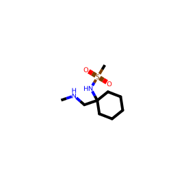 CNCC1(NS(C)(=O)=O)CCCCC1